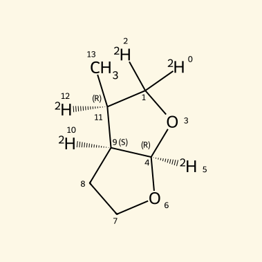 [2H]C1([2H])O[C@@]2([2H])OCC[C@@]2([2H])[C@@]1([2H])C